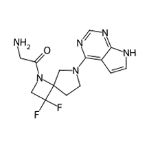 NCC(=O)N1CC(F)(F)C12CCN(c1ncnc3[nH]ccc13)C2